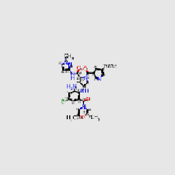 CNc1cncc(C(=O)N2C[C@H](Nc3c(N)cc(Br)cc3C(=O)N3C[C@@H](C)O[C@@H](C)C3)C[C@H]2C(=O)Nc2ccn(C)n2)c1